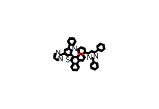 c1ccc(-c2cc(-c3ccc(-n4c5ccccc5c5cc(-c6ncccn6)c6sc7c8ccccc8c8ccccc8c7c6c54)cc3)nc(-c3ccccc3)n2)cc1